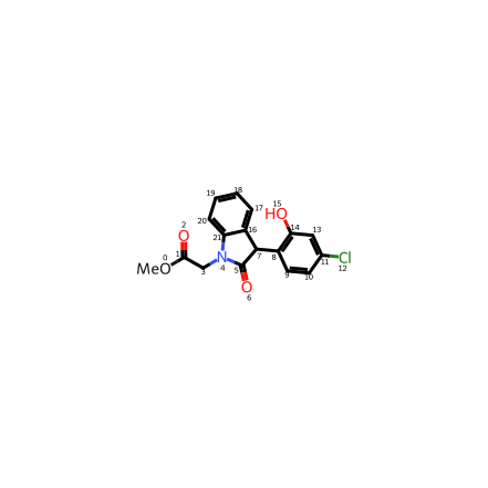 COC(=O)CN1C(=O)C(c2ccc(Cl)cc2O)c2ccccc21